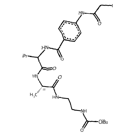 CC(C)COC(=O)NCCNC(=O)[C@H](C)NC(=O)C(NC(=O)c1ccc(NC(=O)CI)cc1)C(C)C